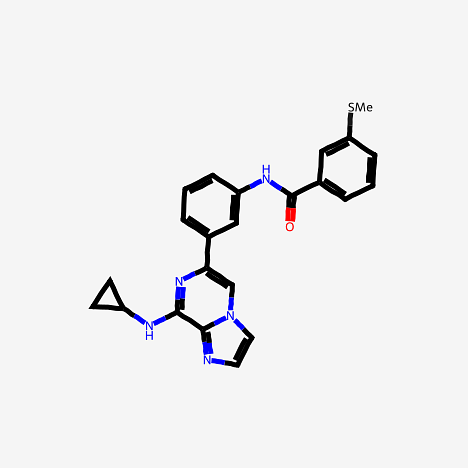 CSc1cccc(C(=O)Nc2cccc(-c3cn4ccnc4c(NC4CC4)n3)c2)c1